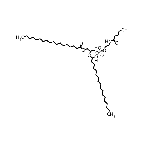 CCCCCCCCCCCCCCCCCC(=O)OCC(COP(=O)(O)OCCNC(=O)CCCC)OC(O)CCCCCCCCCCCCCCCCC